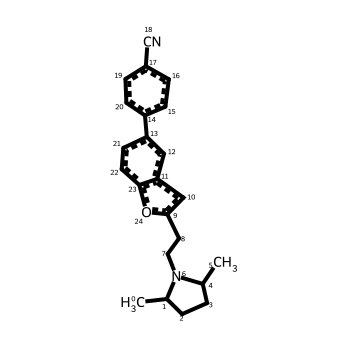 CC1CCC(C)N1CCc1cc2cc(-c3ccc(C#N)cc3)ccc2o1